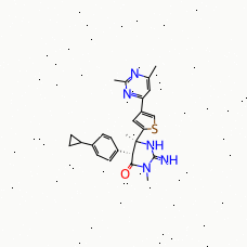 Cc1cc(-c2csc([C@@]3(C)NC(=N)N(C)C(=O)[C@@H]3c3ccc(C4CC4)cc3)c2)nc(C)n1